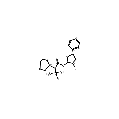 CC(C)(C)N(C(=O)OC1CC(c2ccccc2)CC1O)C1CCCNC1